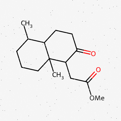 COC(=O)CC1C(=O)CCC2C(C)CCCC12C